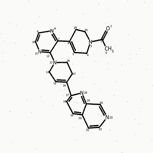 CC(=O)N1CC=C(c2nccnc2N2CC=C(c3ccc4ccncc4n3)CC2)CC1